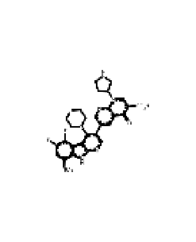 CNc1cc(F)c(F)c2c1[nH]c1ncc(-c3cnc4c(c3)c(=O)c(C(=O)O)cn4C3CCNC3)c(N3CCSCC3)c12